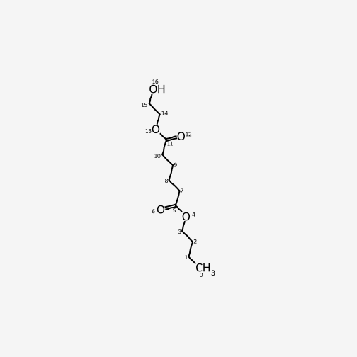 CCCCOC(=O)CCCCC(=O)OCCO